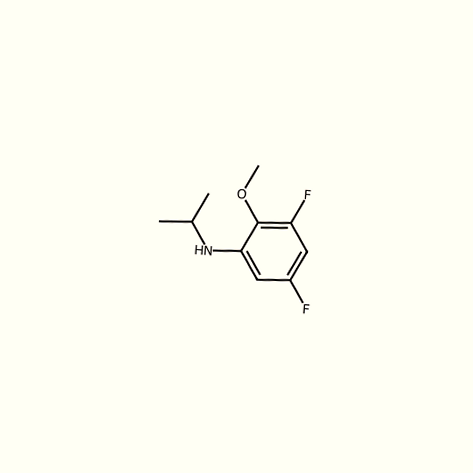 COc1c(F)cc(F)cc1NC(C)C